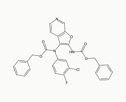 O=C(Nc1oc2cnccc2c1N(C(=O)OCc1ccccc1)c1ccc(F)c(Cl)c1)OCc1ccccc1